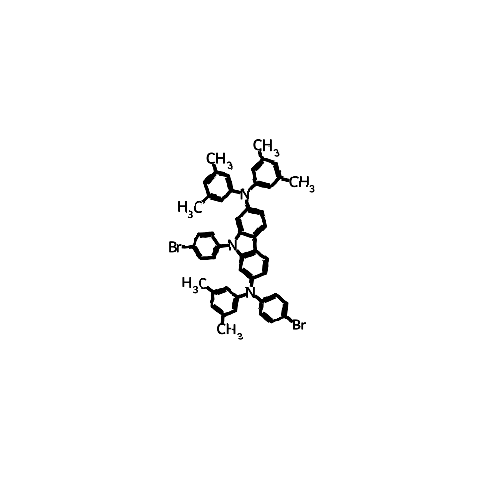 Cc1cc(C)cc(N(c2ccc(Br)cc2)c2ccc3c4ccc(N(c5cc(C)cc(C)c5)c5cc(C)cc(C)c5)cc4n(-c4ccc(Br)cc4)c3c2)c1